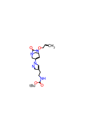 C=CCON1C(=O)N2CC(n3cc(CCNC(=O)OC(C)(C)C)cn3)=CC1C2